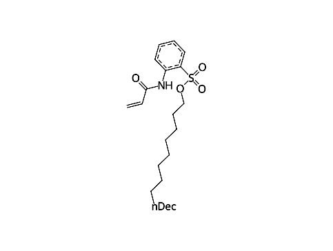 C=CC(=O)Nc1ccccc1S(=O)(=O)OCCCCCCCCCCCCCCCCCC